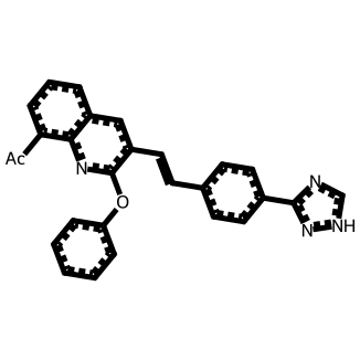 CC(=O)c1cccc2cc(C=Cc3ccc(-c4nc[nH]n4)cc3)c(Oc3ccccc3)nc12